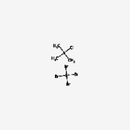 Br[Si](Br)(Br)Br.C[Si](C)(C)Cl